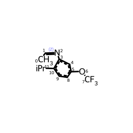 C/C=N\c1cc(OC(F)(F)F)ccc1C(C)C